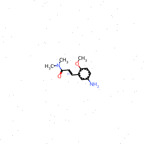 COc1ccc(N)cc1/C=C/C(=O)N(C)C